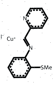 CSc1ccccc1N=Cc1ccccn1.[Cu+].[I-]